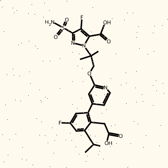 CC(C)c1cc(F)cc(-c2ccnc(OCC(C)(C)n3nc(S(N)(=O)=O)c(F)c3C(=O)O)c2)c1CC(=O)O